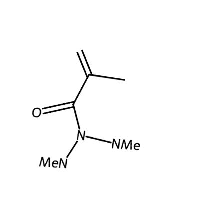 C=C(C)C(=O)N(NC)NC